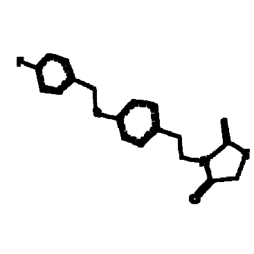 O=C1CSC(=S)N1CCc1ccc(OCc2ccc(F)cc2)cc1